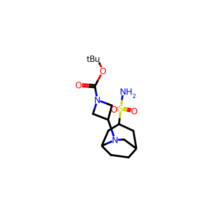 CC(C)(C)OC(=O)N1CC(N2CC3CCC2CC(S(N)(=O)=O)C3)C1